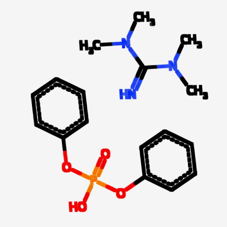 CN(C)C(=N)N(C)C.O=P(O)(Oc1ccccc1)Oc1ccccc1